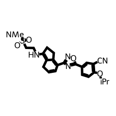 CNS(=O)(=O)CCNC1=C2CC=CC(c3noc(-c4ccc(OC(C)C)c(C#N)c4)n3)=C2CC1